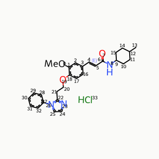 COc1cc(/C=C/C(=O)NC2CCC(C)CC2)ccc1OCCc1nccn1-c1ccccc1.Cl